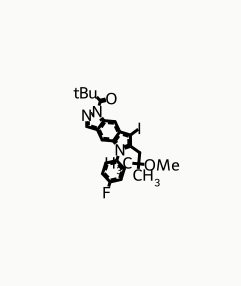 COC(C)(C)Cc1c(I)c2cc3c(cnn3C(=O)C(C)(C)C)cc2n1-c1ccc(F)cc1